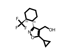 OCc1c([C@H]2CCCC[C@@H]2C(F)(F)F)noc1C1CC1